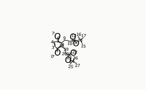 COc1ccc(OC)c(CCC(=O)OC(C)(C)C)c1CCC(=O)OC(C)(C)C